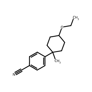 CCOC1CCC(C)(c2ccc(C#N)cc2)CC1